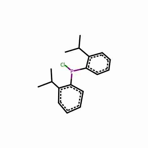 CC(C)c1ccccc1P(Cl)c1ccccc1C(C)C